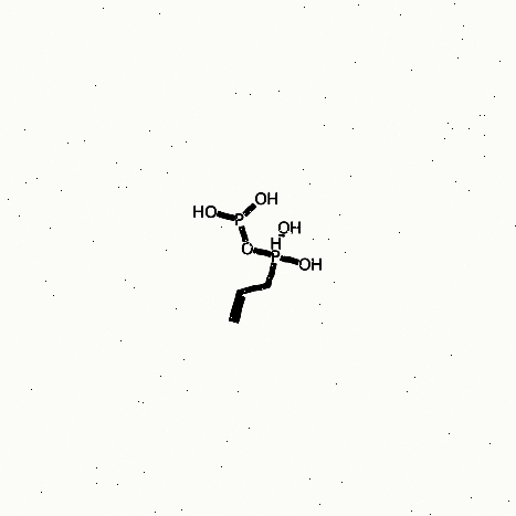 C=CC[PH](O)(O)OP(O)O